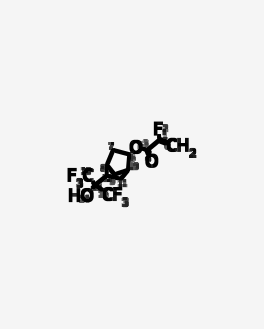 C=C(F)C(=O)OC1CC2CC1CC2C(O)(C(F)(F)F)C(F)(F)F